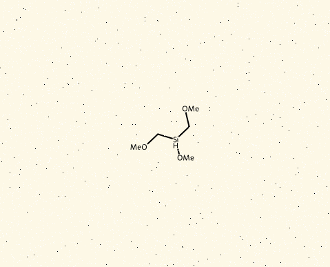 COC[SiH](COC)OC